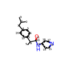 CC(C)Cc1ccc(C(C)C(=O)Nc2ccncc2)cc1